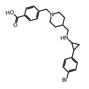 O=C(O)c1ccc(CN2CCC(CNC3CC3c3ccc(Br)cc3)CC2)cc1